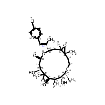 C/C(=C\c1ccc(Cl)cn1)[C@@H]1C[C@@H]2O[C@]2(C)CCC[C@H](C)[C@H](O)[C@@H](C)C(=O)C(C)(C)[C@@H](O)CC(=O)O1